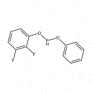 Fc1cccc(OPOc2ccccc2)c1F